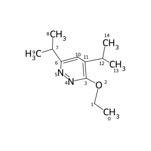 CCOc1nnc(C(C)C)cc1C(C)C